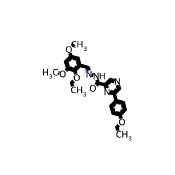 CCOc1ccc(-c2cncc(C(=O)N/N=C/c3cc(OC)cc(OC)c3OCC)n2)cc1